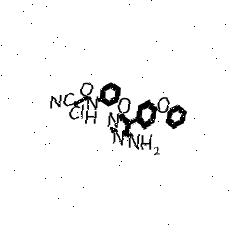 N#CC(Cl)C(=O)Nc1cccc(Oc2ncnc(N)c2-c2ccc(Oc3ccccc3)cc2)c1